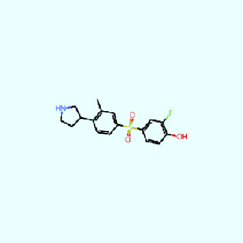 Cc1cc(S(=O)(=O)c2ccc(O)c(F)c2)ccc1C1CCNC1